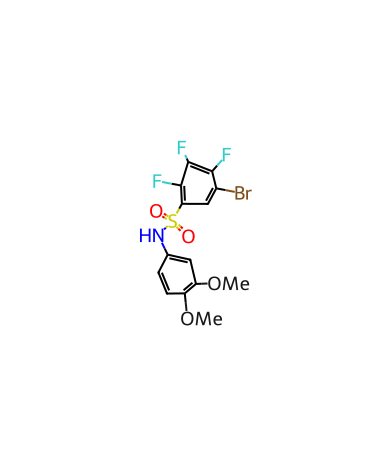 COc1ccc(NS(=O)(=O)c2cc(Br)c(F)c(F)c2F)cc1OC